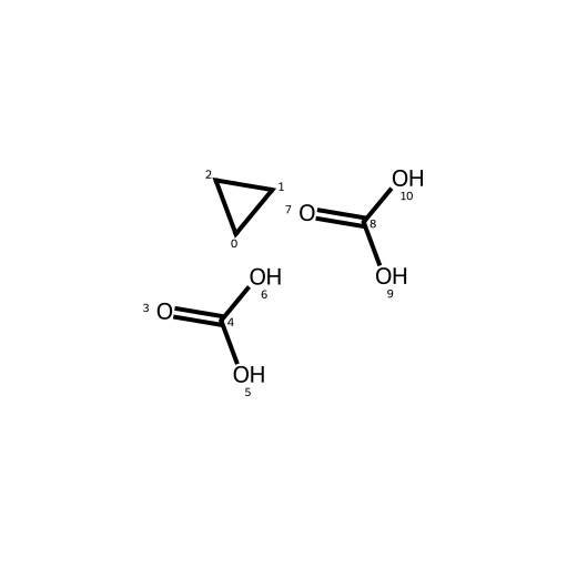 C1CC1.O=C(O)O.O=C(O)O